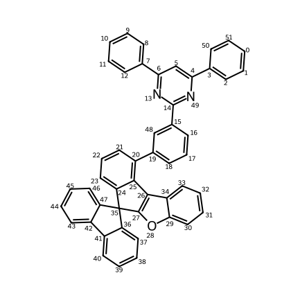 c1ccc(-c2cc(-c3ccccc3)nc(-c3cccc(-c4cccc5c4-c4c(oc6ccccc46)C54c5ccccc5-c5ccccc54)c3)n2)cc1